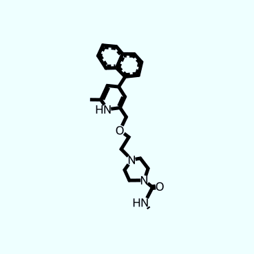 CNC(=O)N1CCN(CCOCC2=CC(c3cccc4ccccc34)C=C(C)N2)CC1